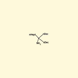 CCCCCCCCCCC(N)(CCCCCCC)CCCCCCCCCC